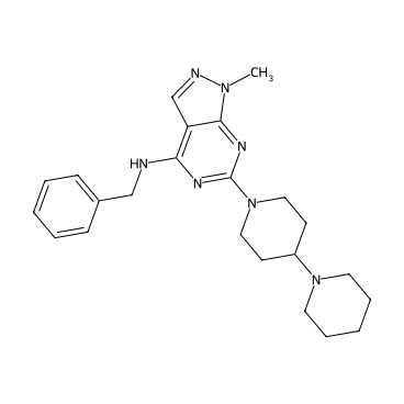 Cn1ncc2c(NCc3ccccc3)nc(N3CCC(N4CCCCC4)CC3)nc21